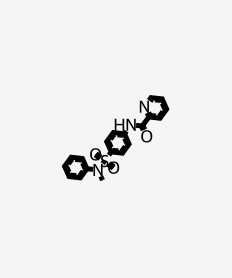 CN(c1ccccc1)S(=O)(=O)c1ccc(NC(=O)c2ccccn2)cc1